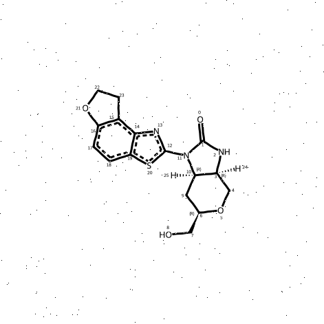 O=C1N[C@H]2CO[C@@H](CO)C[C@H]2N1c1nc2c3c(ccc2s1)OCC3